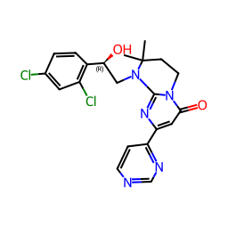 CC1(C)CCn2c(nc(-c3ccncn3)cc2=O)N1C[C@H](O)c1ccc(Cl)cc1Cl